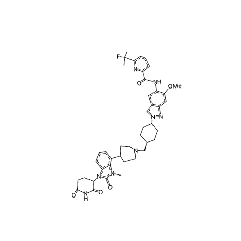 COc1cc2nn([C@H]3CC[C@H](CN4CCC(c5cccc6c5n(C)c(=O)n6C5CCC(=O)NC5=O)CC4)CC3)cc2cc1NC(=O)c1cccc(C(C)(C)F)n1